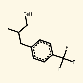 CC(C[TeH])Cc1ccc(C(F)(F)F)cc1